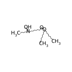 CCCCCCCCC(CCCCCCCC)OC1OC1CCCCCCCN(CCO)CCCCCC